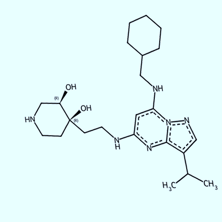 CC(C)c1cnn2c(NCC3CCCCC3)cc(NCC[C@]3(O)CCNC[C@H]3O)nc12